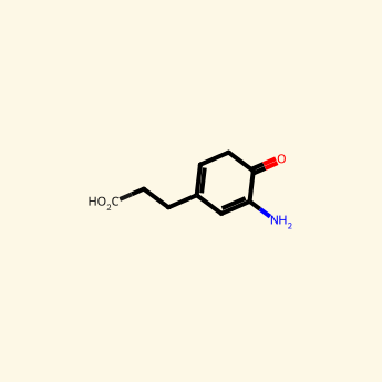 NC1=CC(CCC(=O)O)=CCC1=O